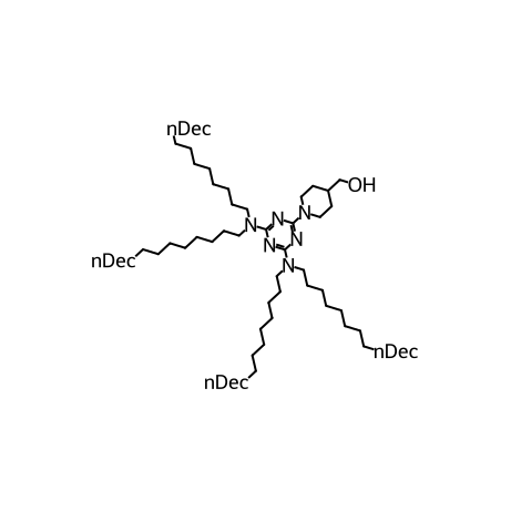 CCCCCCCCCCCCCCCCCCN(CCCCCCCCCCCCCCCCCC)c1nc(N(CCCCCCCCCCCCCCCCCC)CCCCCCCCCCCCCCCCCC)nc(N2CCC(CO)CC2)n1